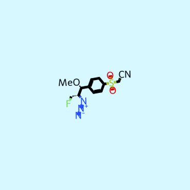 CO[C@H](C1=CCC(S(=O)(=O)CC#N)C=C1)[C@@H](CF)N=[N+]=[N-]